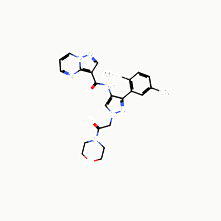 COc1ccc(C#N)cc1-c1nn(CC(=O)N2CCOCC2)cc1NC(=O)c1cnn2cccnc12